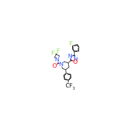 O=C(N1CC(c2ccc(C(F)(F)F)cc2)CC(c2nc(-c3cccc(F)c3)no2)C1)N1CC(F)(F)C1